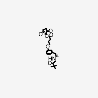 C[C@@H](Cc1cccc(OCCCC(=O)ON2C(=O)CCC2=O)c1)NCC(=O)C(C)(C)C